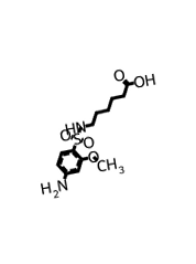 COc1cc(N)ccc1S(=O)(=O)NCCCCCC(=O)O